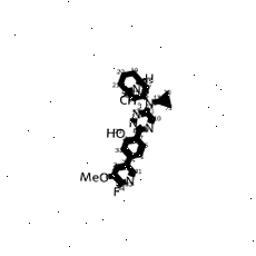 COc1cc(-c2ccc(-c3ncc(N(C4CC4)[C@@H]4C[C@H]5CCC[C@@](C)(C4)N5)nn3)c(O)c2)cnc1F